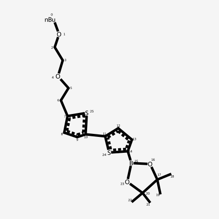 CCCCOCCOCCc1ccc(-c2ccc(B3OC(C)(C)C(C)(C)O3)s2)s1